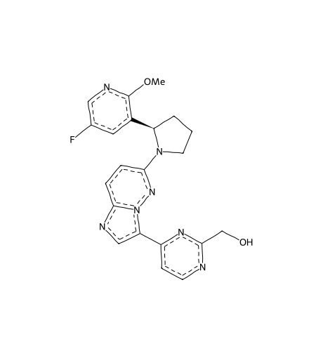 COc1ncc(F)cc1[C@H]1CCCN1c1ccc2ncc(-c3ccnc(CO)n3)n2n1